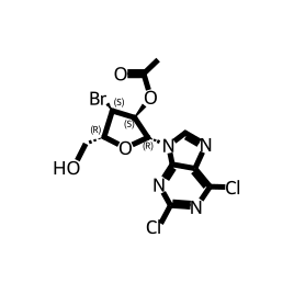 CC(=O)O[C@@H]1[C@@H](Br)[C@@H](CO)O[C@H]1n1cnc2c(Cl)nc(Cl)nc21